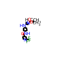 CC(C)(C)OC(=O)N1CC(Nc2ccc(NC(=O)c3ccnc(C(F)(F)F)c3)cc2)C1